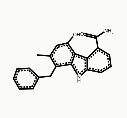 Cc1cc(O)c2c([nH]c3cccc(C(N)=O)c32)c1Cc1ccccc1